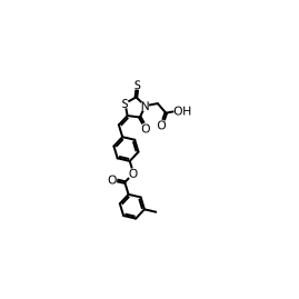 Cc1cccc(C(=O)Oc2ccc(C=C3SC(=S)N(CC(=O)O)C3=O)cc2)c1